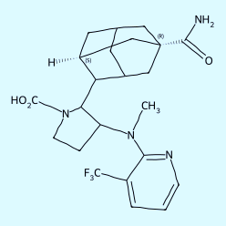 CN(c1ncccc1C(F)(F)F)C1CCN(C(=O)O)C1C1C2CC3C[C@H]1C[C@@](C(N)=O)(C3)C2